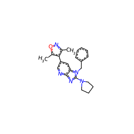 Cc1noc(C)c1-c1cnc2nc(N3CCCC3)n(Cc3ccccc3)c2c1